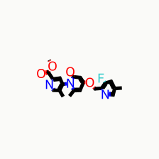 COC(=O)c1cc(-n2c(C)cc(OCc3ncc(C)cc3F)cc2=O)c(C)cn1